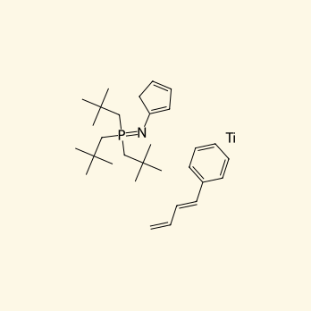 C=CC=Cc1ccccc1.CC(C)(C)CP(CC(C)(C)C)(CC(C)(C)C)=NC1=CC=CC1.[Ti]